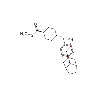 CSC(=O)[C@H]1CC[C@H](Cc2cnc(N3C4CCC3CN(CCS)C4)nc2)CC1